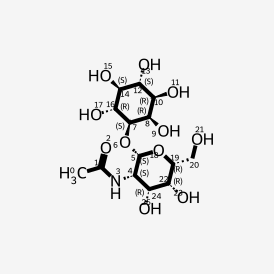 CC(=O)N[C@@H]1[C@H](O[C@@H]2[C@H](O)[C@H](O)[C@@H](O)[C@H](O)[C@H]2O)O[C@H](CO)[C@H](O)[C@@H]1O